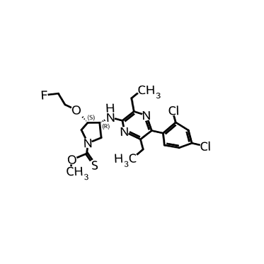 CCc1nc(-c2ccc(Cl)cc2Cl)c(CC)nc1N[C@@H]1CN(C(=S)OC)C[C@@H]1OCCF